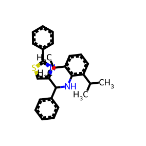 CC(C)c1cccc(C(C)C)c1NC(c1ccccc1)c1csc(-c2ccccc2)n1